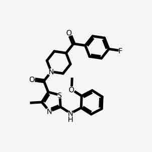 COc1ccccc1Nc1nc(C)c(C(=O)N2CCC(C(=O)c3ccc(F)cc3)CC2)s1